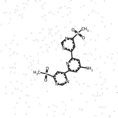 CS(=O)(=O)c1cc(-c2cc(N)cc(-c3cc(S(C)(=O)=O)ncn3)n2)ncn1